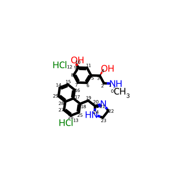 CNC[C@H](O)c1cccc(O)c1.Cl.Cl.c1ccc2c(CC3=NCCN3)cccc2c1